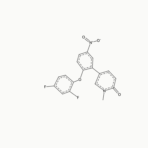 Cn1cc(-c2cc([N+](=O)[O-])ccc2Oc2ccc(F)cc2F)ccc1=O